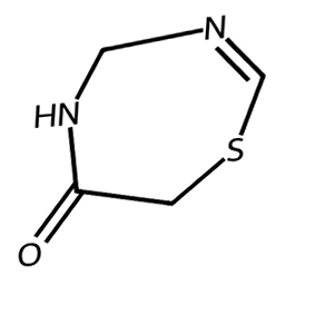 O=C1CSC=NCN1